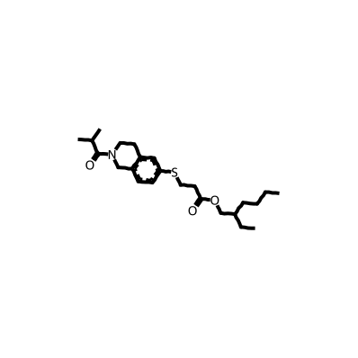 CCCCC(CC)COC(=O)CCSc1ccc2c(c1)CCN(C(=O)C(C)C)C2